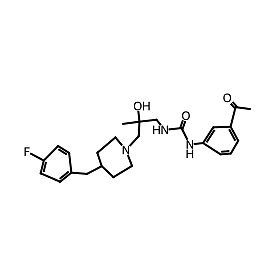 CC(=O)c1cccc(NC(=O)NCC(C)(O)CN2CCC(Cc3ccc(F)cc3)CC2)c1